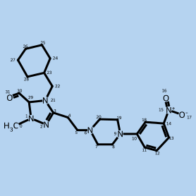 CN1N=C(CCN2CCN(c3cccc([N+](=O)[O-])c3)CC2)N(CC2CCCCC2)C1C=O